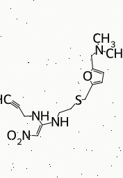 C#CCN/C(=C\[N+](=O)[O-])NCCSCc1ccc(CN(C)C)o1